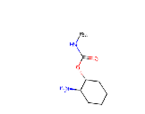 CC(C)(C)NC(=O)O[C@@H]1CCCC[C@H]1N